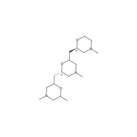 CC1CN(C)CC(C[C@H]2CN(C)CC(C[C@@H]3CN(C)CCO3)O2)O1